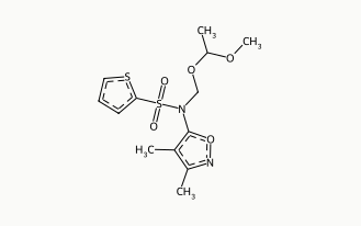 COC(C)OCN(c1onc(C)c1C)S(=O)(=O)c1cccs1